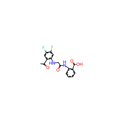 CC(=O)c1cc(F)c(F)cc1NCC(=O)Nc1ccccc1C(=O)O